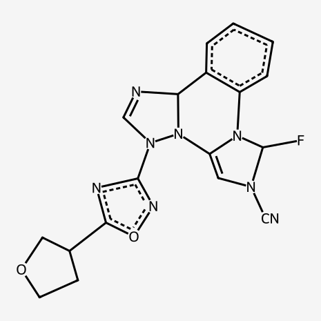 N#CN1C=C2N(c3ccccc3C3N=CN(c4noc(C5CCOC5)n4)N23)C1F